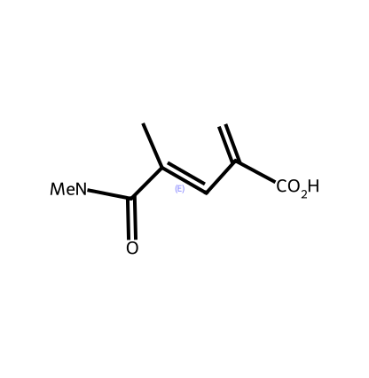 C=C(/C=C(\C)C(=O)NC)C(=O)O